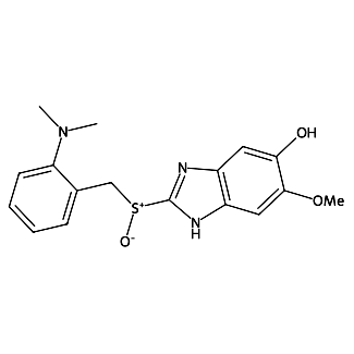 COc1cc2[nH]c([S+]([O-])Cc3ccccc3N(C)C)nc2cc1O